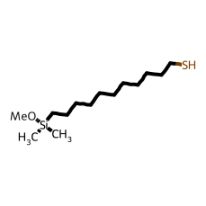 CO[Si](C)(C)CCCCCCCCCCCS